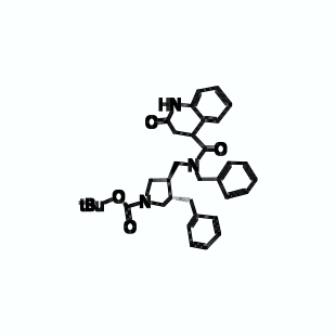 CC(C)(C)OC(=O)N1C[C@@H](Cc2ccccc2)[C@H](CN(Cc2ccccc2)C(=O)C2CC(=O)Nc3ccccc32)C1